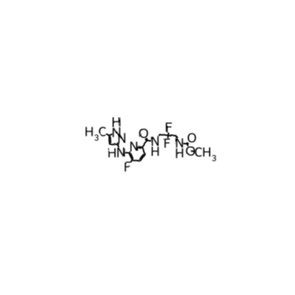 COC(=O)NCC(F)(F)CNC(=O)c1ccc(F)c(Nc2cc(C)[nH]n2)n1